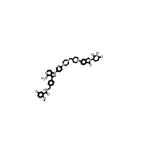 COc1ccc(F)cc1C(=O)NCc1ccc(-c2nn(-c3ccc(N4CCN(CC5CCN(c6ccc7c(c6)CN(C6CCC(=O)NC6=O)C7=O)CC5)CC4)nc3)c3ccnc(N)c23)cc1